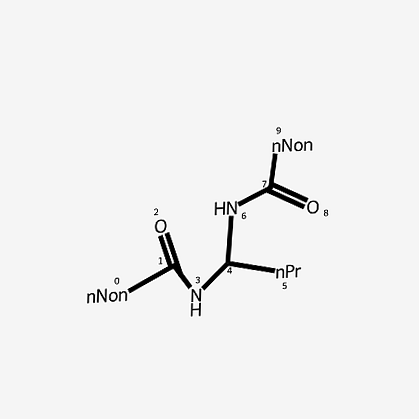 CCCCCCCCCC(=O)NC(CCC)NC(=O)CCCCCCCCC